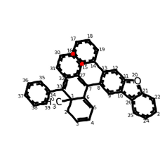 CC12CC=CC=C1C(c1cc3c(cc1-c1ccccc1)oc1ccccc13)=c1ccccc1=C2c1ccccc1